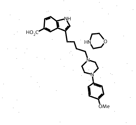 C1COCCN1.COc1ccc(N2CCN(CCCCc3c[nH]c4ccc(C(=O)O)cc34)CC2)cc1